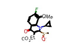 CCOC(=O)c1c([S+](C)[O-])n(C2CC2)c2c(OC)c(F)ccc2c1=O